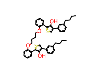 CCCCc1cccc(-c2csc(-c3ccccc3OCCCCOc3ccccc3-c3scc(-c4cccc(CCCC)c4)c3O)c2O)c1